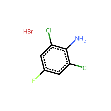 Br.Nc1c(Cl)cc(F)cc1Cl